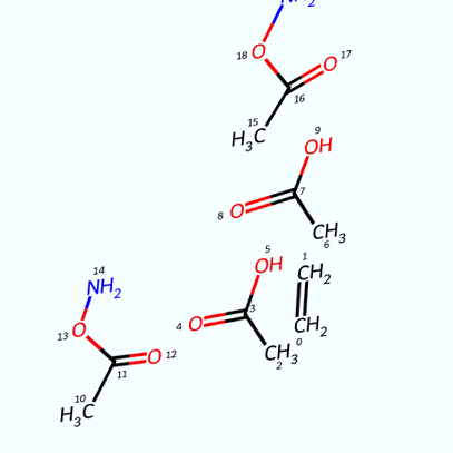 C=C.CC(=O)O.CC(=O)O.CC(=O)ON.CC(=O)ON